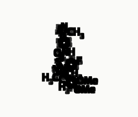 COc1ccc(C(C)(C)c2c(C)nc(SCC(=O)Nc3ccc(-n4ccnc4C)cc3)n2-c2ccc(F)cc2)cc1OC